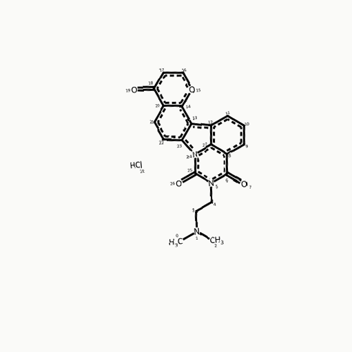 CN(C)CCn1c(=O)c2cccc3c4c5occc(=O)c5ccc4n(c1=O)c23.Cl